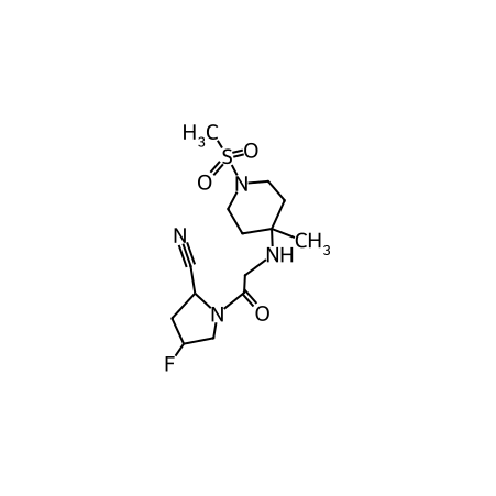 CC1(NCC(=O)N2CC(F)CC2C#N)CCN(S(C)(=O)=O)CC1